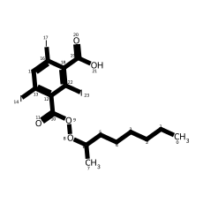 CCCCCCC(C)OOC(=O)c1c(I)cc(I)c(C(=O)O)c1I